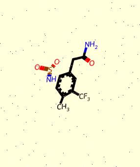 Cc1ccc(CC(N)=O)cc1C(F)(F)F.N=S(=O)=O